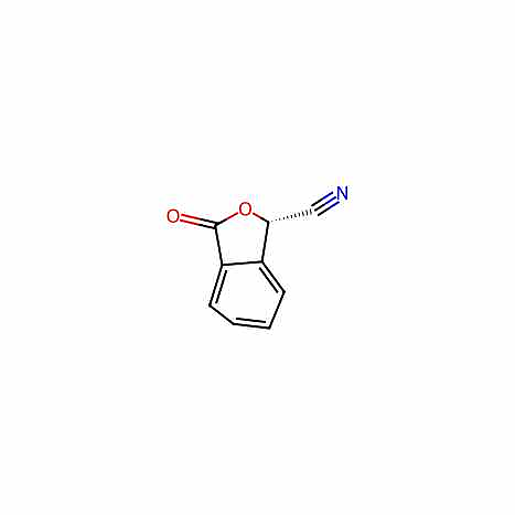 N#C[C@H]1OC(=O)c2ccccc21